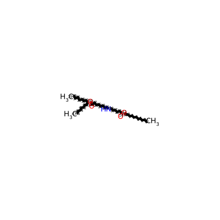 CCCCCCCCCCCCOC(=O)CCCCCNCCCCCCCC(=O)OC(CCCCCCCC)CCCCCCCC